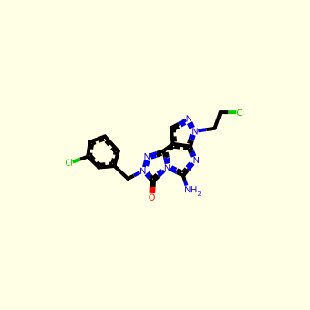 Nc1nc2c(cnn2CCCl)c2nn(Cc3cccc(Cl)c3)c(=O)n12